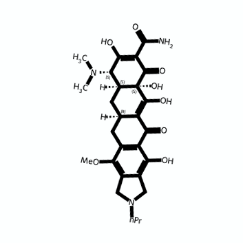 CCCN1Cc2c(O)c3c(c(OC)c2C1)C[C@H]1C[C@H]2[C@H](N(C)C)C(O)=C(C(N)=O)C(=O)[C@@]2(O)C(O)=C1C3=O